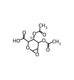 CC(=O)OC1C2OC2OC(C(=O)O)[C@H]1OC(C)=O